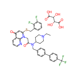 CCN1CCC(N(Cc2ccc(-c3ccc(C(F)(F)F)cc3)cc2)C(=O)Cn2c(SCc3cccc(F)c3F)cc(=O)c3cccnc32)CC1.O=C(O)C(O)C(O)C(=O)O